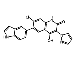 O=c1[nH]c2cc(Cl)c(-c3ccc4[nH]ccc4c3)cc2c(O)c1-n1cccn1